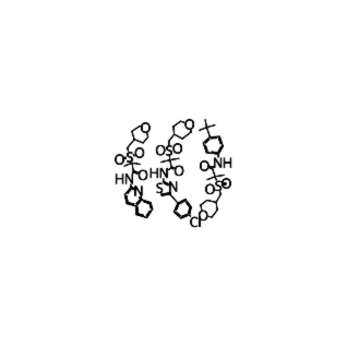 CC(C)(C(=O)Nc1ccc2ccccc2n1)S(=O)(=O)CC1CCOCC1.CC(C)(C(=O)Nc1nc(-c2ccc(Cl)cc2)cs1)S(=O)(=O)CC1CCOCC1.CC(C)(C)c1ccc(NC(=O)C(C)(C)S(=O)(=O)CC2CCOCC2)cc1